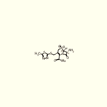 Cc1nnc(SCC2=C(C(=O)C(C)(C)C)N3C(=O)[C@@H](N)[C@H]3S(=O)(=O)C2)s1